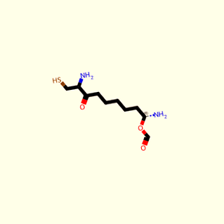 NC(CS)C(=O)CCCCC[C@H](N)OC=O